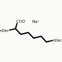 CCCCCCCCCCCCCCCC(CCCCCCCCCC)C(=O)[O-].[Na+]